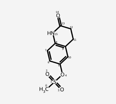 CS(=O)(=O)Oc1ccc2c(c1)CCC(=O)N2